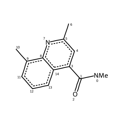 CNC(=O)c1cc(C)nc2c(C)cccc12